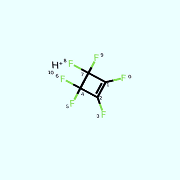 FC1=C(F)C(F)(F)C1(F)F.[H+]